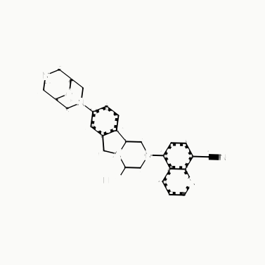 CC1CN(c2ccc(C#N)c3ncccc23)CC2c3ccc(N4CC5CNCC(C4)O5)cc3CN12